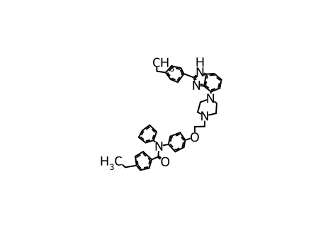 CCc1ccc(C(=O)N(c2ccccc2)c2ccc(OCCN3CCN(c4cccc5[nH]c(-c6ccc(CC)cc6)nc45)CC3)cc2)cc1